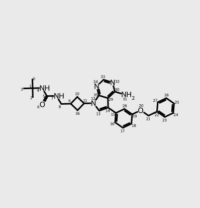 CC(C)(C)NC(=O)NCC1CC(n2cc(-c3cccc(OCc4ccccc4)c3)c3c(N)ncnc32)C1